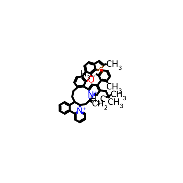 C=C1CC2C(CCc3ccc4c(oc5c4ccc4cc(C)sc45)c3-c3cc(-c4c(C)cccc4C)c(CC(C)(C)C)c[n+]31)c1ccccc1-c1cccc[n+]12